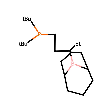 CCC(CCP(C(C)(C)C)C(C)(C)C)B1C2CCCC1CCC2